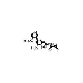 COc1ccncc1-c1cc(N)c2nnc(NC(=O)C3CC3F)cc2c1